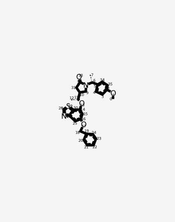 COc1ccc([C@@H](C)N2CC([C@@H](C)Oc3cc(OCc4ccccc4)cc4ncsc34)CC2=O)cc1